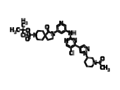 CC(=O)N1CCCC(n2cc(-c3nc(Nc4cncc(N5CCC6(CCN(C(=O)OC(C)(C)C)CC6)C5=O)c4)ncc3Cl)cn2)C1